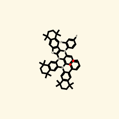 Cc1cc2c3c(c1)N(c1ccc(F)cc1F)c1c(oc4cc5c(cc14)C(C)(C)CCC5(C)C)B3c1cc3c(cc1N2c1cc2c(cc1-c1ccccc1)C(C)(C)CCC2(C)C)C(C)(C)CCC3(C)C